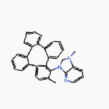 Cc1ccc2c(c1N1CN(C)c3cccnc31)-c1ccccc1-c1ccccc1-c1ccccc1-2